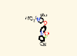 CC(C)(C)C1CC(Oc2ccn(-c3ccc(C#N)cc3F)c(=O)c2)CCN1C(=O)O